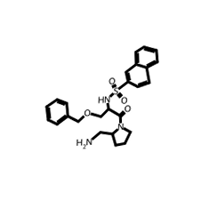 NCC1CCCN1C(=O)C(COCc1ccccc1)NS(=O)(=O)c1ccc2ccccc2c1